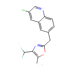 CCOC(=O)c1oc(Cc2ccc3ncc(Cl)cc3c2)nc1C(F)F